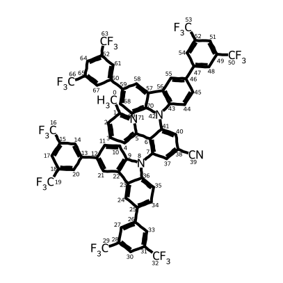 Cc1cccc(-c2c(-n3c4ccc(-c5cc(C(F)(F)F)cc(C(F)(F)F)c5)cc4c4cc(-c5cc(C(F)(F)F)cc(C(F)(F)F)c5)ccc43)cc(C#N)cc2-n2c3ccc(-c4cc(C(F)(F)F)cc(C(F)(F)F)c4)cc3c3cc(-c4cc(C(F)(F)F)cc(C(F)(F)F)c4)ccc32)n1